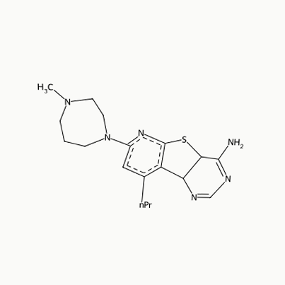 CCCc1cc(N2CCCN(C)CC2)nc2c1C1N=CN=C(N)C1S2